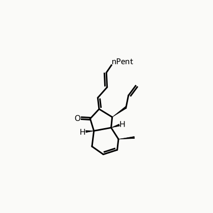 C=CC[C@@H]1/C(=C\C=C\CCCCC)C(=O)[C@H]2CC=C[C@H](C)[C@H]21